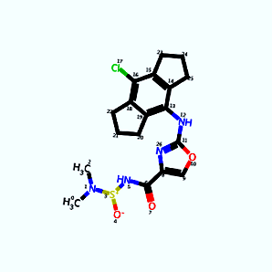 CN(C)[S+]([O-])NC(=O)c1coc(Nc2c3c(c(Cl)c4c2CCC4)CCC3)n1